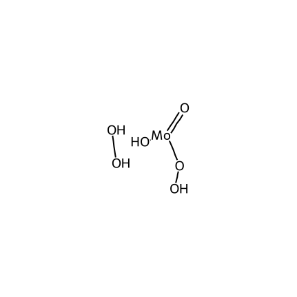 OO.[O]=[Mo]([OH])[O]O